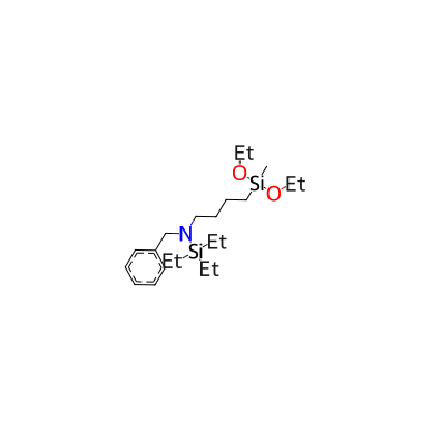 CCO[Si](C)(CCCCN(Cc1ccccc1)[Si](CC)(CC)CC)OCC